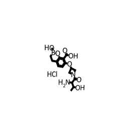 CC(O)C(N)C(=O)N1CC(Oc2ccc3c(c2C(=O)O)OB(O)CC3)C1.Cl